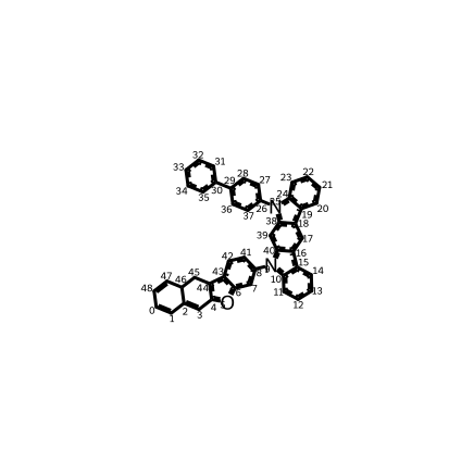 C1=CC2=Cc3oc4cc(-n5c6ccccc6c6cc7c8ccccc8n(-c8ccc(-c9ccccc9)cc8)c7cc65)ccc4c3CC2C=C1